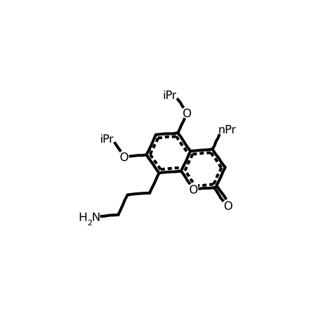 CCCc1cc(=O)oc2c(CCCN)c(OC(C)C)cc(OC(C)C)c12